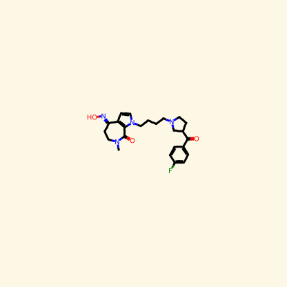 CN1CCC(=NO)c2ccn(CCCCN3CCC(C(=O)c4ccc(F)cc4)C3)c2C1=O